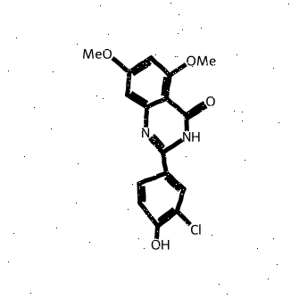 COc1cc(OC)c2c(=O)[nH]c(-c3ccc(O)c(Cl)c3)nc2c1